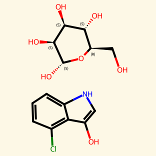 OC[C@H]1O[C@H](O)[C@@H](O)[C@@H](O)[C@@H]1O.Oc1c[nH]c2cccc(Cl)c12